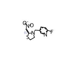 O=[N+]([O-])/C=C1/SCCN1Cc1ccc(F)nc1